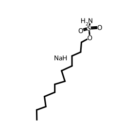 CCCCCCCCCCCCOS(N)(=O)=O.[NaH]